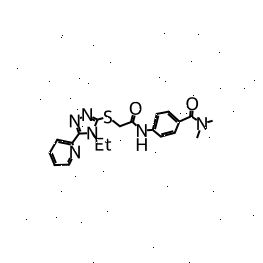 CCn1c(SCC(=O)Nc2ccc(C(=O)N(C)C)cc2)nnc1-c1ccccn1